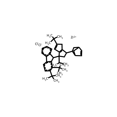 CC(C)C1(C2c3ccccc3-c3ccc(C(C)(C)C)c(C(C)(C)C)c32)CC(C2CC3C=CC2C3)C2=C1C=C(C(C)(C)C)C2.[Cl-].[Cl-].[Zr+2]